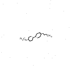 CCCC[C@H]1CC[C@H]([C@H]2CC[C@H](CC)CC2)CC1